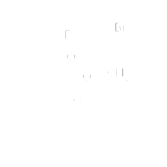 C=CC(COC(c1ccccc1)(c1ccccc1)c1ccccc1)OCC(=O)c1cc(Br)ccc1F